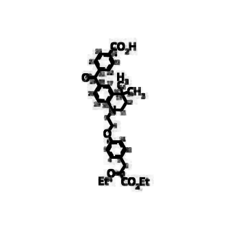 CCOC(=O)[C@H](Cc1ccc(OCCN2CCC(C)(C)c3cc(C(=O)c4ccc(C(=O)O)cc4)ccc32)cc1)OCC